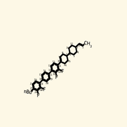 C/C=C/C1CCC(C2CC=C(c3ccc(-c4ccc(-c5ccc(CCCC)c(F)c5F)cc4)c(F)c3F)CC2)CC1